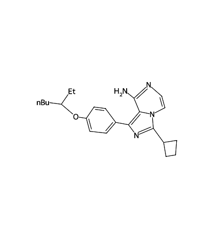 CCCCC(CC)Oc1ccc(-c2nc(C3CCC3)n3ccnc(N)c23)cc1